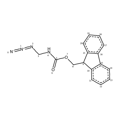 [N-]=[N+]=NCNC(=O)OCC1c2ccccc2-c2ccccc21